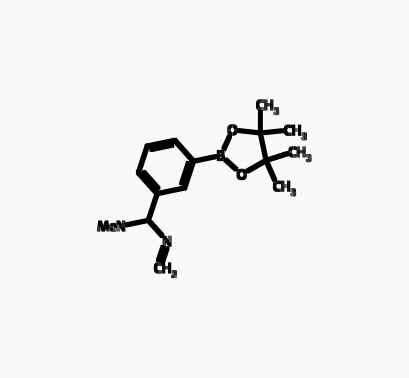 C=NC(NC)c1cccc(B2OC(C)(C)C(C)(C)O2)c1